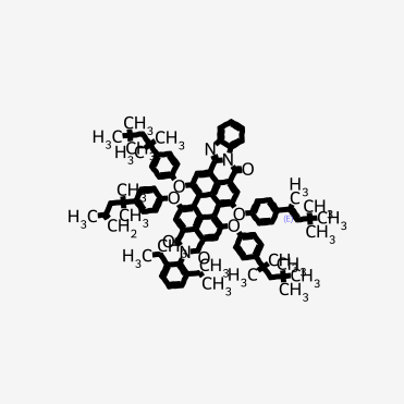 C=C(C)CC(C)(C)c1ccc(Oc2cc3c4c(cc(Oc5ccc(C(C)(C)CC(C)(C)C)cc5)c5c6c(Oc7ccc(/C(C)=C/C(C)(C)C)cc7)cc7c(=O)n8c9ccccc9nc8c8cc(Oc9ccc(C(C)(C)CC(C)(C)C)cc9)c(c2c45)c6c78)C(=O)N(c2c(C(C)C)cccc2C(C)C)C3=O)cc1